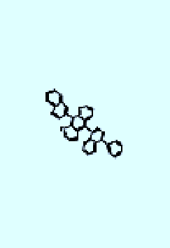 c1ccc(-c2ccc(-c3c4ccccc4c(-c4ccc5ccccc5c4)c4ncccc34)c3ccccc23)cc1